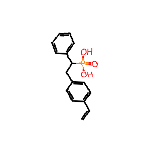 C=Cc1ccc(CC(c2ccccc2)P(=O)(O)O)cc1